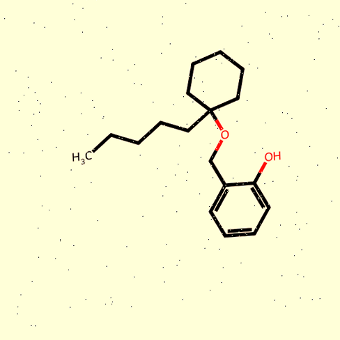 CCCCCC1(OCc2ccccc2O)CCCCC1